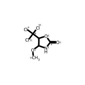 COC1NC(=O)OC1C(Cl)(Cl)Cl